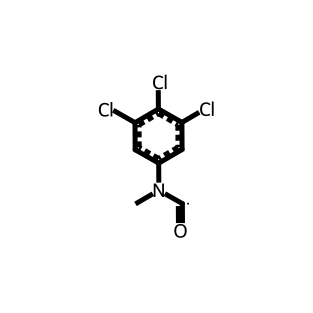 CN([C]=O)c1cc(Cl)c(Cl)c(Cl)c1